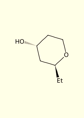 CC[C@H]1C[C@H](O)CCO1